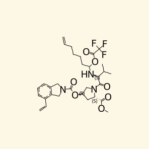 C=CCCCCC(N[C@H](C(=O)N1C[C@H](OC(=O)N2Cc3cccc(C=C)c3C2)C[C@H]1C(=O)OC)C(C)C)OC(=O)C(F)(F)F